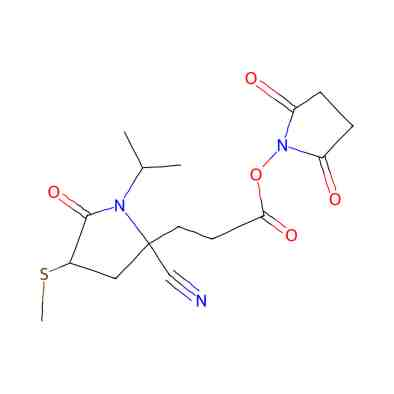 CSC1CC(C#N)(CCC(=O)ON2C(=O)CCC2=O)N(C(C)C)C1=O